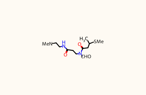 CNCCNC(=O)CCN(C=O)C(=O)CC(C)SC